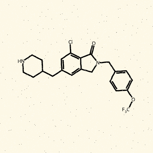 O=C1c2c(Cl)cc(CC3CCNCC3)cc2CN1Cc1ccc(OC(F)(F)F)cc1